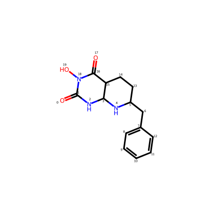 O=C1NC2NC(Cc3ccccc3)CCC2C(=O)N1O